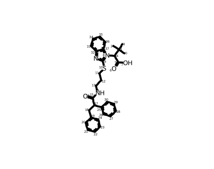 CC(C)(C)C(C(=O)O)n1c(SCCCNC(=O)C(Cc2ccccc2)c2ccccc2)nc2ccccc21